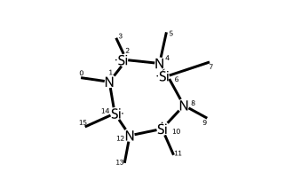 CN1[Si](C)N(C)[Si](C)N(C)[Si](C)N(C)[Si]1C